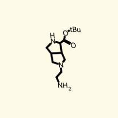 CC(C)(C)OC(=O)C1NCC2CN(CCN)CC21